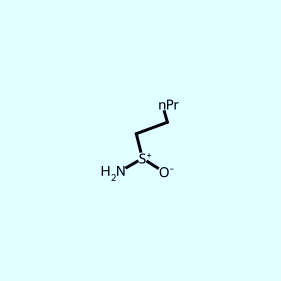 CCCCC[S+](N)[O-]